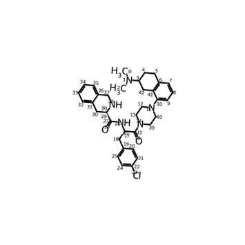 CN(C)C1CCc2cccc(N3CCN(C(=O)[C@@H](Cc4ccc(Cl)cc4)NC(=O)[C@H]4Cc5ccccc5CN4)CC3)c2C1